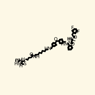 C[C@H](NC(=O)Cc1cc(F)cc(F)c1)C(=O)NC(NCc1ccc(C(=O)c2ccc(CNCCCCCCCCNC(=O)CCCC[C@@H]3SC[C@@H]4NC(=O)N[C@@H]43)cc2)cc1)c1ccccc1